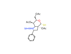 CC(=O)OC[C@H]1O[C@H](S)[C@](CCc2ccccc2)(OC(C)=O)[C@@H](N=[N+]=[N-])[C@H]1OC(C)=O